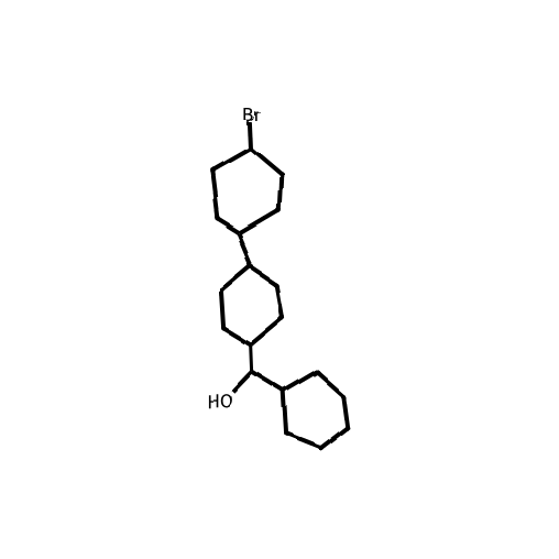 OC(C1CCCCC1)C1CCC(C2CCC(Br)CC2)CC1